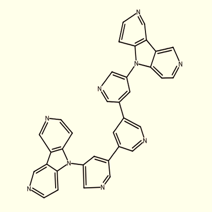 c1cc2c(cn1)c1cnccc1n2-c1cncc(-c2cncc(-c3cncc(-n4c5ccncc5c5cnccc54)c3)c2)c1